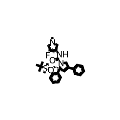 CN1C[C@@H](F)[C@H](NC(=O)N2CC(c3ccccc3)=C[C@@]2(CO[Si](C)(C)C(C)(C)C)c2ccccc2)C1